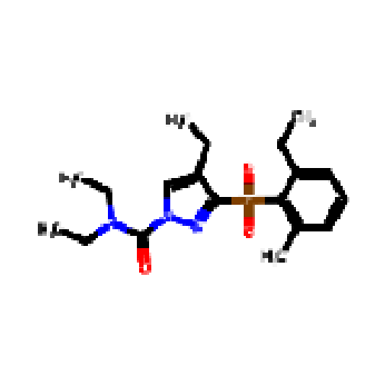 CCc1cn(C(=O)N(CC)CC)nc1S(=O)(=O)c1c(C)cccc1CC